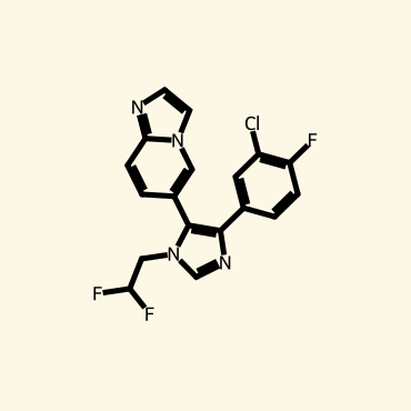 Fc1ccc(-c2ncn(CC(F)F)c2-c2ccc3nccn3c2)cc1Cl